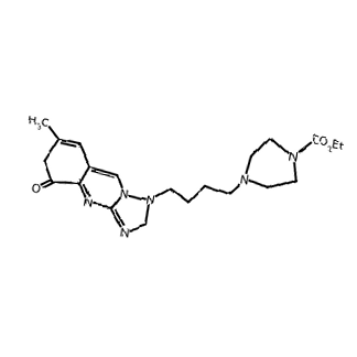 CCOC(=O)N1CCN(CCCCN2CN=C3N=C4C(=O)CC(C)=CC4=CN32)CC1